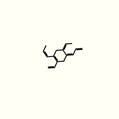 C=C/C=C1/CC(C=C)=C(/C=C\C)C/C1=C/C